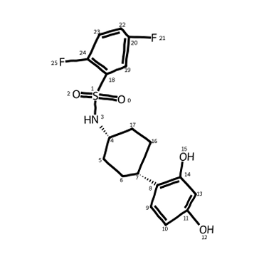 O=S(=O)(N[C@H]1CC[C@@H](c2ccc(O)cc2O)CC1)c1cc(F)ccc1F